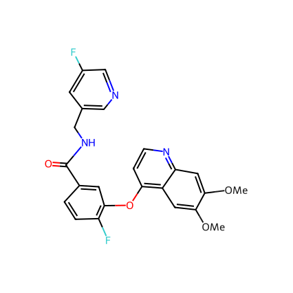 COc1cc2nccc(Oc3cc(C(=O)NCc4cncc(F)c4)ccc3F)c2cc1OC